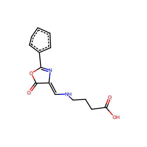 O=C(O)CCCN/C=C1\N=C(c2ccccc2)OC1=O